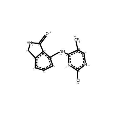 O=C1NCc2cccc(Nc3nc(Cl)ncc3C(F)(F)F)c21